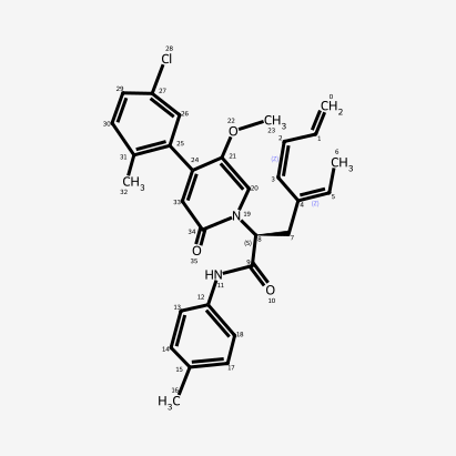 C=C/C=C\C(=C/C)C[C@@H](C(=O)Nc1ccc(C)cc1)n1cc(OC)c(-c2cc(Cl)ccc2C)cc1=O